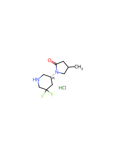 CC1CC(=O)N([C@H]2CNCC(F)(F)C2)C1.Cl